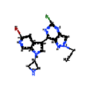 CCn1cc2nc(Cl)nc(-c3cn(C4CNC4)c4cnc(Br)cc34)c2n1